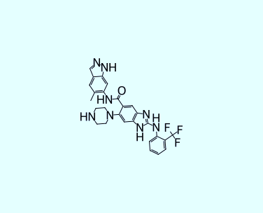 Cc1cc2cn[nH]c2cc1NC(=O)c1cc2nc(Nc3ccccc3C(F)(F)F)[nH]c2cc1N1CCNCC1